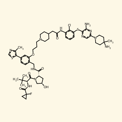 Cc1ncsc1-c1ccc(CNC(=O)[C@@H]2C[C@@H](O)CN2C(=O)[C@@H](NC(=O)C2(F)CC2)C(C)(C)C)c(OCCCN2CCC(CC(=O)Nc3cccc(Sc4ncc(N5CCC(C)(N)CC5)nc4N)c3Cl)CC2)c1